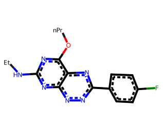 CCCOc1nc(NCC)nc2nnc(-c3ccc(F)cc3)nc12